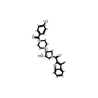 Cc1c(C(=O)N2C[C@H](O)[C@@H](N3CCN(C(=O)c4ccc(Cl)cc4)CC3)C2)oc2ccccc12